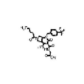 C=CCCC(=O)N1Cc2c(O)c(C(=O)NCC(=O)O)c(=O)n(Cc3ccc(C(F)(F)F)cc3)c2C1